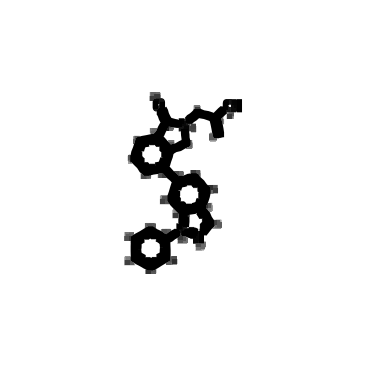 C=C(C#N)CN1Cc2c(cccc2-c2ccc3cnn(-c4ccccc4)c3c2)C1=O